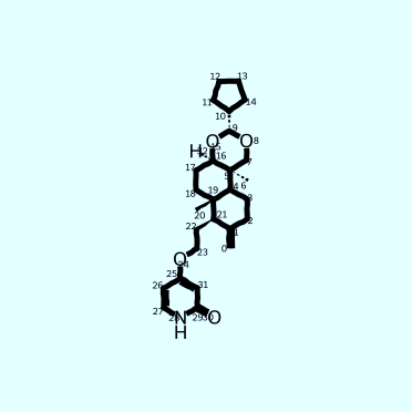 C=C1CCC2[C@]3(C)CO[C@@H](C4CCCC4)O[C@@H]3CC[C@@]2(C)[C@@H]1CCOc1cc[nH]c(=O)c1